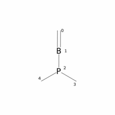 C=BP(C)C